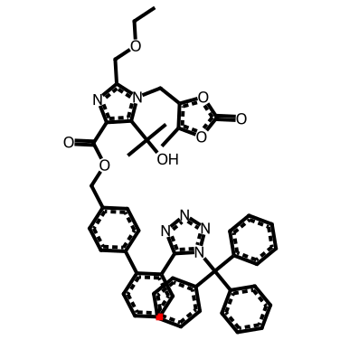 CCOCc1nc(C(=O)OCc2ccc(-c3ccccc3-c3nnnn3C(c3ccccc3)(c3ccccc3)c3ccccc3)cc2)c(C(C)(C)O)n1Cc1oc(=O)oc1C